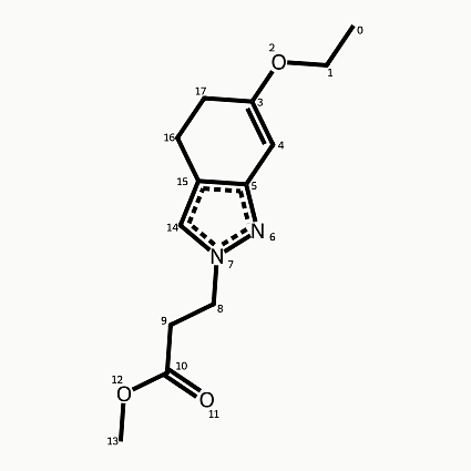 CCOC1=Cc2nn(CCC(=O)OC)cc2CC1